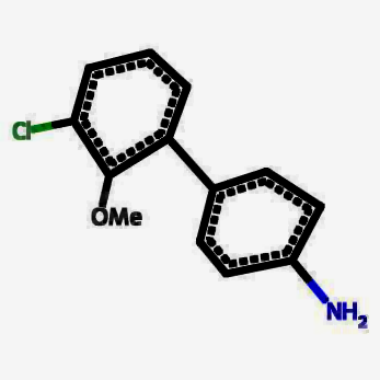 COc1c(Cl)cccc1-c1ccc(N)cc1